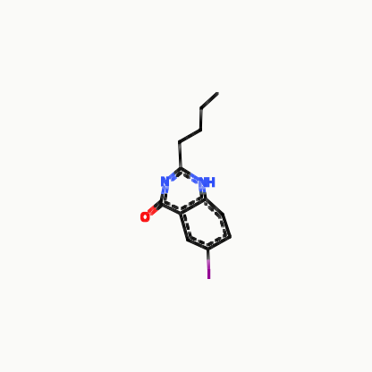 CCCCc1nc(=O)c2cc(I)ccc2[nH]1